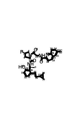 C[C@H](NC(=O)[C@@H]1C[C@@H](F)CN1C(=O)CNC(=O)c1ccc2cc(F)ccc2n1)c1c(O)cccc1/C=C/C1CC1